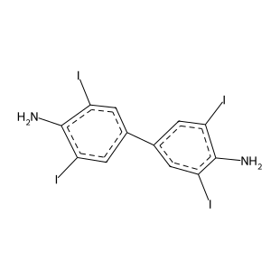 Nc1c(I)cc(-c2cc(I)c(N)c(I)c2)cc1I